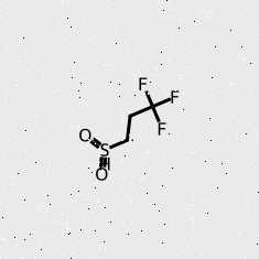 O=[SH](=O)[CH]CC(F)(F)F